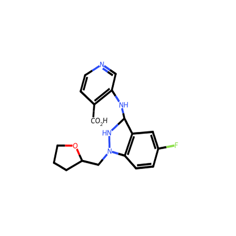 O=C(O)c1ccncc1NC1NN(CC2CCCO2)c2ccc(F)cc21